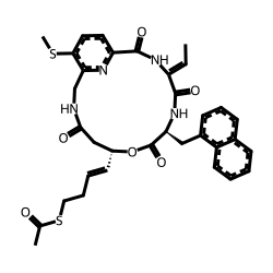 C/C=C1\NC(=O)c2ccc(SC)c(n2)CNC(=O)C[C@@H](/C=C/CCSC(C)=O)OC(=O)[C@H](Cc2cccc3ccccc23)NC1=O